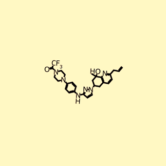 C=CCc1ccc2c(n1)C(C)(O)CC(n1ccc(Nc3ccc(N4CCN(C(=O)C(F)(F)F)CC4)cc3)n1)C2